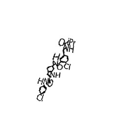 CC(C)C(=O)NCc1ccc(Cl)c(C(=O)Nc2ccc3cc(C(=O)Nc4ccc(Cl)cc4)[nH]c3c2)c1